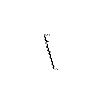 CCCCCCCCC=CCCCCCCCCCCCCOC(=O)CCCCCCCCCCCCC